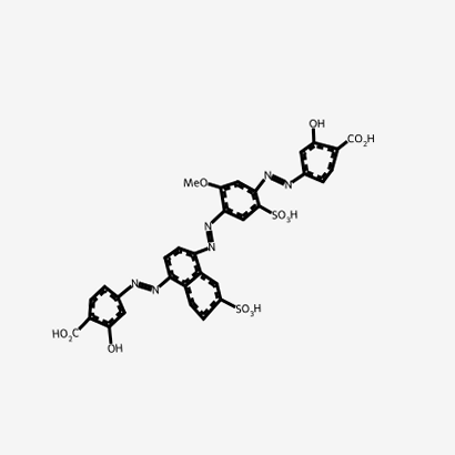 COc1cc(N=Nc2ccc(C(=O)O)c(O)c2)c(S(=O)(=O)O)cc1N=Nc1ccc(N=Nc2ccc(C(=O)O)c(O)c2)c2ccc(S(=O)(=O)O)cc12